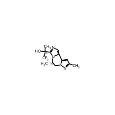 Cc1cc2n(n1)C[C@H](C)n1c-2cnc1[C@@](C)(O)C(F)(F)F